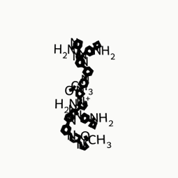 CC(=O)[C@H]1CCCN1C1CCN(c2cccc(-c3ccc4nc(-c5ccc[n+](C6C[C@@H](C(C)=O)N(C7CCN(c8cccc(-c9ccc%10nc(-c%11cccnc%11N)n(-c%11ccc(C%12(N)CCC%12)cc%11)c%10n9)c8)CC7)C6)c5N)n(-c5ccc(C6(N)CCC6)cc5)c4n3)c2)CC1